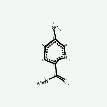 CNC(=O)c1ccc([N+](=O)[O-])cn1